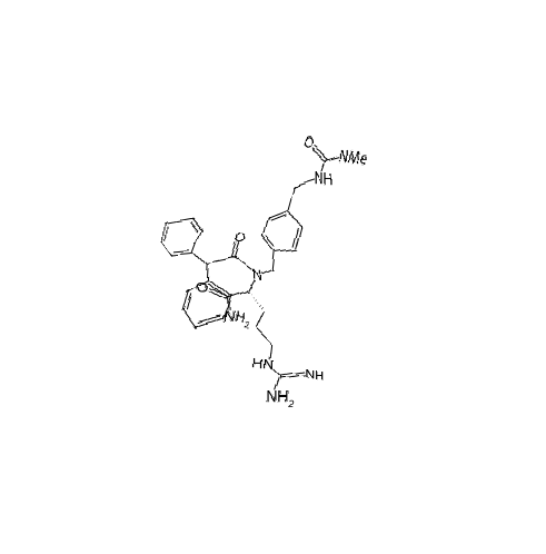 CNC(=O)NCc1ccc(CN(C(=O)C(c2ccccc2)c2ccccc2)[C@H](CCCNC(=N)N)C(N)=O)cc1